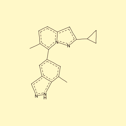 Cc1ccc2cc(C3CC3)nn2c1-c1cc(C)c2[nH]ncc2c1